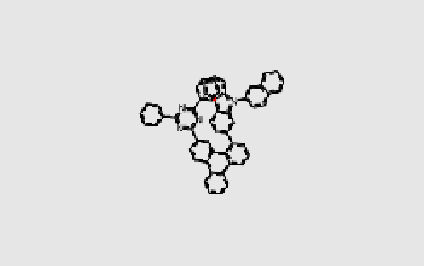 c1ccc(-c2nc(-c3ccccc3)nc(-c3ccc4c5ccccc5c5cccc(-c6ccc7c8ccccc8n(-c8ccc9ccccc9c8)c7c6)c5c4c3)n2)cc1